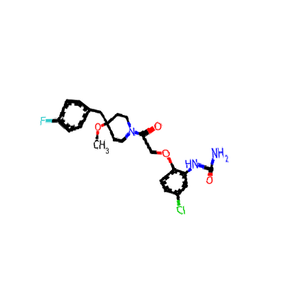 COC1(Cc2ccc(F)cc2)CCN(C(=O)COc2ccc(Cl)cc2NC(N)=O)CC1